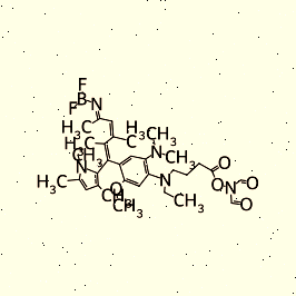 CCN(CCCC(=O)ON(C=O)C=O)c1cc(OC)c(\C(=C(C)/C(C)=C\C(C)=N\B(F)F)c2c(C)cc(C)n2C)cc1N(C)C